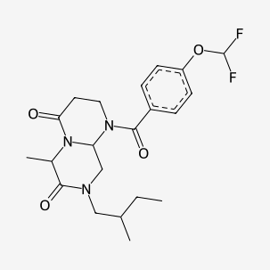 CCC(C)CN1CC2N(C(=O)c3ccc(OC(F)F)cc3)CCC(=O)N2C(C)C1=O